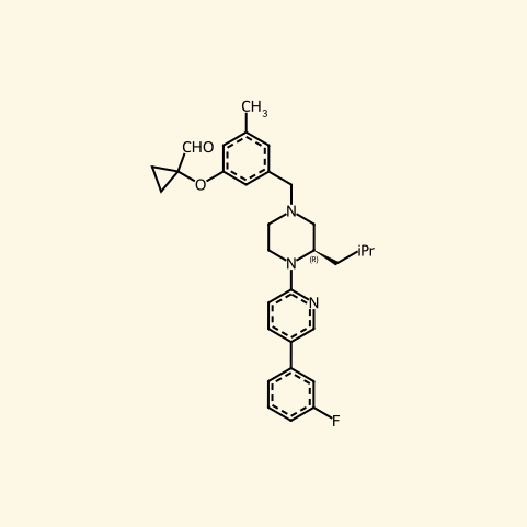 Cc1cc(CN2CCN(c3ccc(-c4cccc(F)c4)cn3)[C@H](CC(C)C)C2)cc(OC2(C=O)CC2)c1